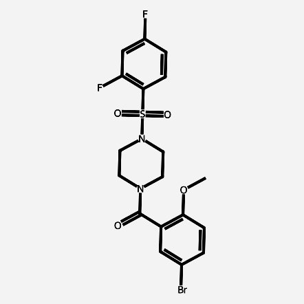 COc1ccc(Br)cc1C(=O)N1CCN(S(=O)(=O)c2ccc(F)cc2F)CC1